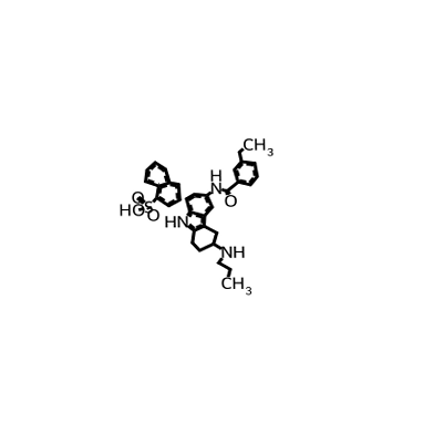 CCCNC1CCc2[nH]c3ccc(NC(=O)c4cccc(CC)c4)cc3c2C1.O=S(=O)(O)c1cccc2ccccc12